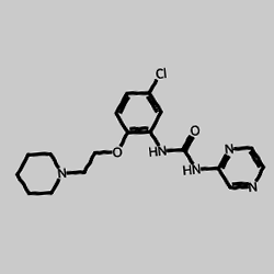 O=C(Nc1cnccn1)Nc1cc(Cl)ccc1OCCN1CCCCC1